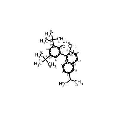 Cc1c(-c2c3ccc(C(C)C)cc3cc[n+]2C)cc(C(C)(C)C)cc1C(C)(C)C